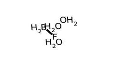 BF.O.O.O